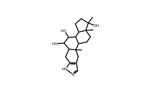 CC12Cc3cn[nH]c3CC1C(O)C(O)C1C2CCC2(C)C1CCC2(C)O